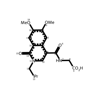 COc1cc2c(C(=O)NCC(=O)O)cn(CC(C)C)c(=O)c2cc1OC